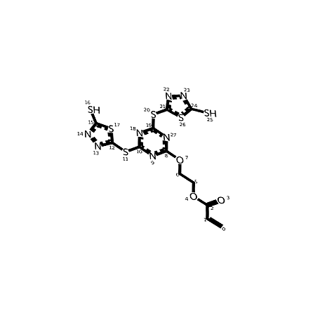 C=CC(=O)OCCOc1nc(Sc2nnc(S)s2)nc(Sc2nnc(S)s2)n1